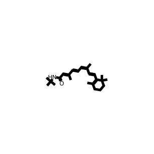 CC1=C(/C=C/C(C)=C\C=C\C(C)=C\C(=O)NC(C)(C)C)C(C)(C)CCC1